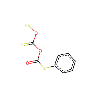 O=C(OC(=S)OS)Sc1ccccc1